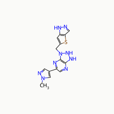 Cn1cc(-c2cnc3c(n2)N(Cc2cc4[nH]ncc4s2)NN3)cn1